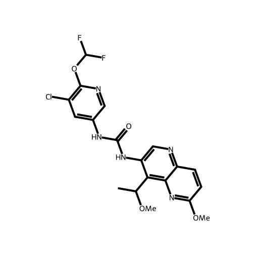 COc1ccc2ncc(NC(=O)Nc3cnc(OC(F)F)c(Cl)c3)c(C(C)OC)c2n1